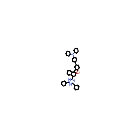 c1ccc(-c2nc(-c3ccccc3)nc(-c3cc4oc5ccc(-c6ccc(N(c7ccccc7)c7ccccc7)cc6)cc5c4c4ccccc34)n2)cc1